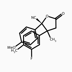 COc1ccc([C@]2(C#N)OC(=O)CC2(C)c2ccc(C)c(F)c2)cc1